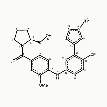 COc1cc(C(=O)N2CCC[C@H]2CO)ccc1Nc1ncc(Cl)c(-c2cnn(C(C)C)c2)n1